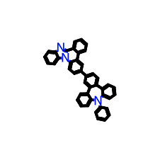 c1ccc(N2c3ccccc3-c3ccc(-c4ccc5c(c4)c4ccccc4c4nc6ccccc6n54)cc3-c3ccccc32)cc1